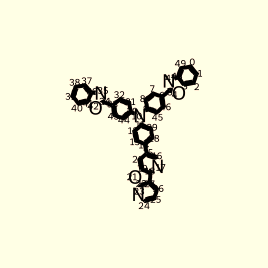 c1ccc2oc(-c3ccc(N(c4ccc(-c5cnc6c(c5)oc5ncccc56)cc4)c4ccc(-c5nc6ccccc6o5)cc4)cc3)nc2c1